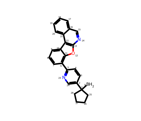 BC1(c2ccc(-c3cccc4c3oc3ncc5ccccc5c34)nc2)CCCC1